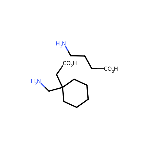 NCC1(CC(=O)O)CCCCC1.NCCCC(=O)O